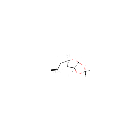 C=C[C@H](C)[C@@]1(CC)O[C@@H]2OC(C)(C)O[C@@H]2[C@@H]1OC